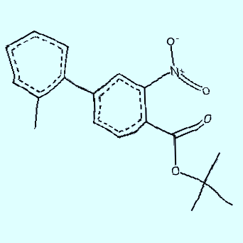 Cc1ccccc1-c1ccc(C(=O)OC(C)(C)C)c([N+](=O)[O-])c1